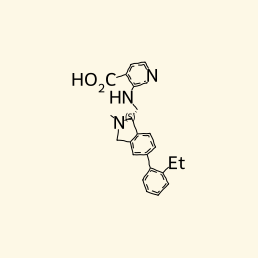 CCc1ccccc1-c1ccc2c(c1)CN(C)[C@@H]2CNc1cnccc1C(=O)O